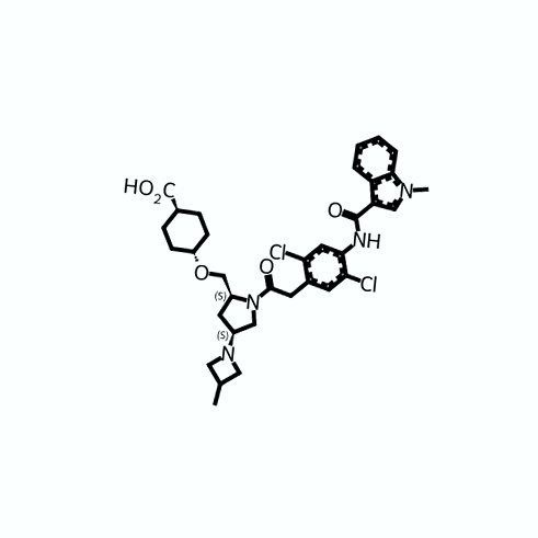 CC1CN([C@H]2C[C@@H](CO[C@H]3CC[C@H](C(=O)O)CC3)N(C(=O)Cc3cc(Cl)c(NC(=O)c4cn(C)c5ccccc45)cc3Cl)C2)C1